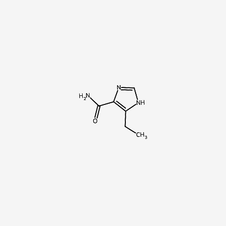 CCc1[nH]cnc1C(N)=O